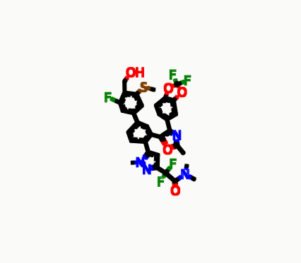 CSc1cc(-c2ccc(-c3cc(C(F)(F)C(=O)N(C)C)nn3C)c(-c3oc(C)nc3-c3ccc4c(c3)OC(F)(F)O4)c2)cc(F)c1CO